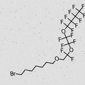 FC(F)(COCCCCCCCBr)OC(F)(F)C(F)(F)OC(F)(F)C(F)(F)C(F)(F)C(F)(F)F